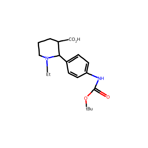 CCN1CCCC(C(=O)O)C1c1ccc(NC(=O)OC(C)(C)C)cc1